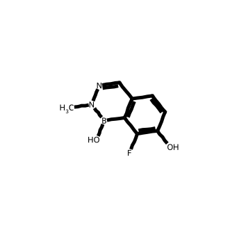 CN1N=Cc2ccc(O)c(F)c2B1O